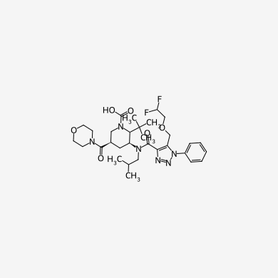 CC(C)CN(C(=O)c1nnn(-c2ccccc2)c1COCC(F)F)[C@H]1C[C@@H](C(=O)N2CCOCC2)CN(C(=O)O)C1C(C)(C)C